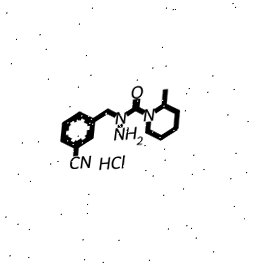 CC1CCCCN1C(=O)N(N)Cc1cccc(C#N)c1.Cl